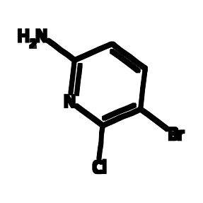 Nc1ccc(Br)c(Cl)n1